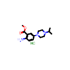 COC(=O)c1cc(N2CCN(C(C)C)CC2)ccc1N.Cl